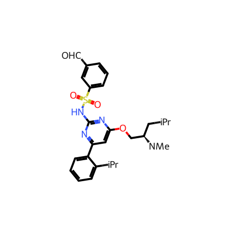 CN[C@@H](COc1cc(-c2ccccc2C(C)C)nc(NS(=O)(=O)c2cccc(C=O)c2)n1)CC(C)C